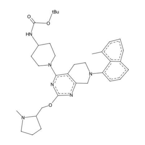 Cc1cccc2cccc(N3CCc4c(nc(OCC5CCCN5C)nc4N4CCC(NC(=O)OC(C)(C)C)CC4)C3)c12